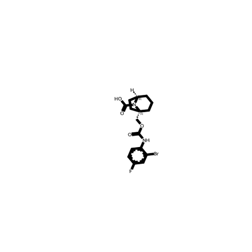 O=C(Nc1ccc(F)cc1Br)OC[C@]12CCC[C@H](CC1)N2C(=O)O